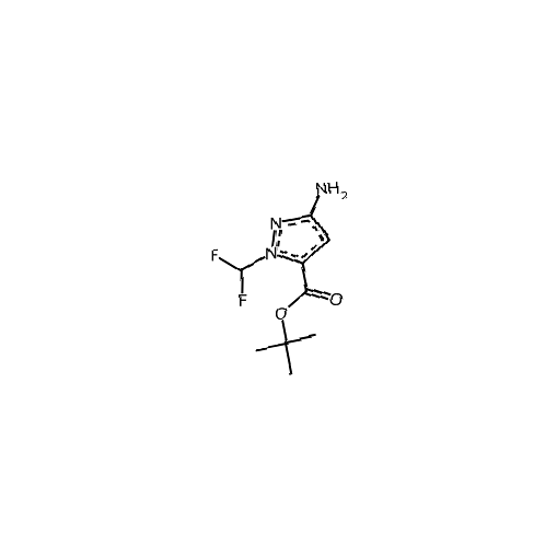 CC(C)(C)OC(=O)c1cc(N)nn1C(F)F